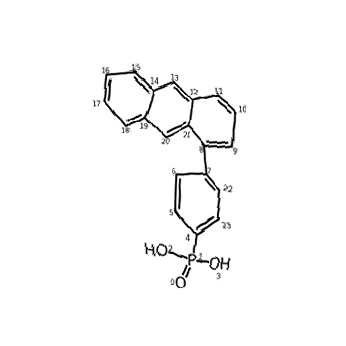 O=P(O)(O)c1ccc(-c2cccc3cc4ccccc4cc23)cc1